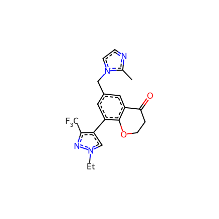 CCn1cc(-c2cc(Cn3ccnc3C)cc3c2OCCC3=O)c(C(F)(F)F)n1